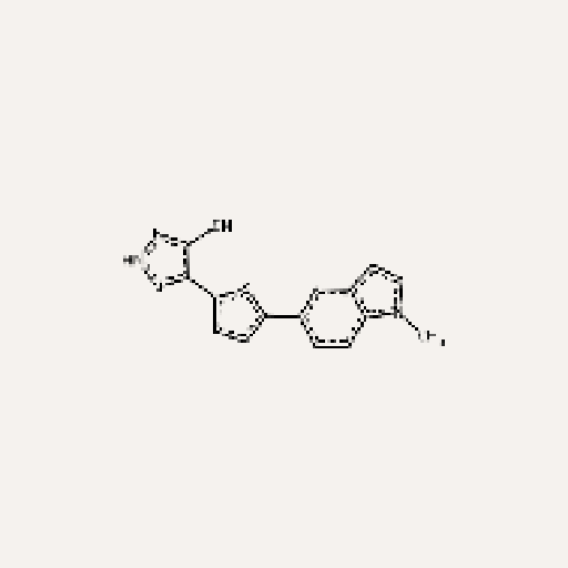 Cn1ccc2cc(-c3ccc(-c4n[nH]nc4C#N)s3)ccc21